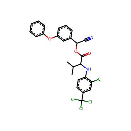 CC(C)C(Nc1ccc(C(Cl)(Cl)Cl)cc1Cl)C(=O)OC(C#N)c1cccc(Oc2ccccc2)c1